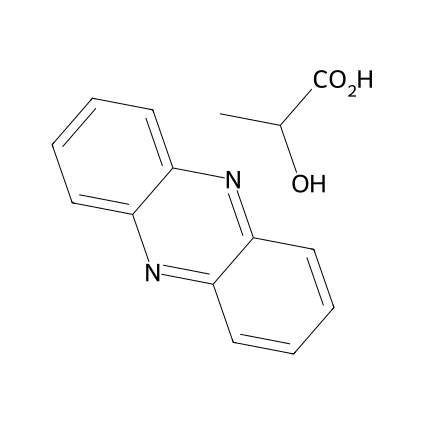 CC(O)C(=O)O.c1ccc2nc3ccccc3nc2c1